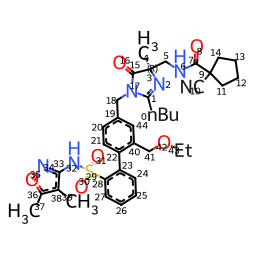 CCCCC1=N[C@](C)(CNC(=O)C2(C#N)CCCC2)C(=O)N1Cc1ccc(-c2ccccc2S(=O)(=O)Nc2noc(C)c2C)c(COCC)c1